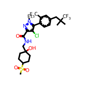 CCn1nc(C(=O)NCC2(O)CCC(S(C)(=O)=O)CC2)c(Cl)c1-c1ccc(CC(C)(C)C(F)(F)F)cc1C(F)(F)F